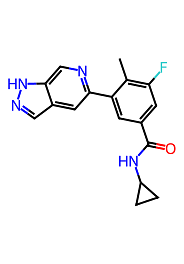 Cc1c(F)cc(C(=O)NC2CC2)cc1-c1cc2cn[nH]c2cn1